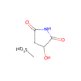 CS(=O)(=O)O.O=C1CC(O)C(=O)N1